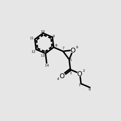 CCOC(=O)C1OC1c1ccccc1C